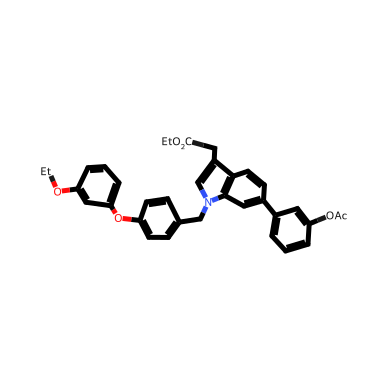 CCOC(=O)Cc1cn(Cc2ccc(Oc3cccc(OCC)c3)cc2)c2cc(-c3cccc(OC(C)=O)c3)ccc12